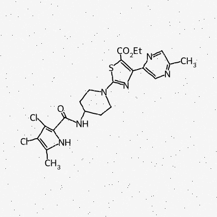 CCOC(=O)c1sc(N2CCC(NC(=O)c3[nH]c(C)c(Cl)c3Cl)CC2)nc1-c1cnc(C)cn1